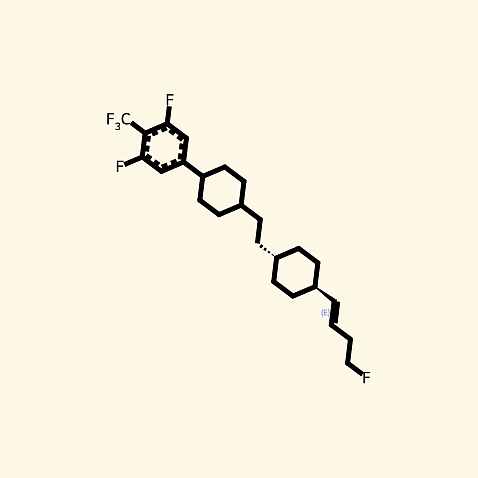 FCC/C=C/[C@H]1CC[C@H](CCC2CCC(c3cc(F)c(C(F)(F)F)c(F)c3)CC2)CC1